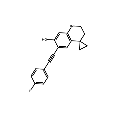 Oc1cc2c(cc1C#Cc1ccc(F)cc1)C1(CCN2)CC1